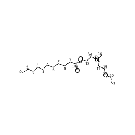 CCCCCCCCCCC(=O)OCCN(C)CCOCC